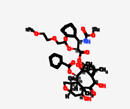 CCCOCCOCC(=O)O[C@@H](C(=O)O[C@@H]1CC(C)=C2[C@@H](O)C(=O)[C@@]3(C)[C@H]([C@H](OC(=O)c4ccccc4)[C@@]1(O)C2(C)C)[C@]1(OC(C)=O)CO[C@@H]1C[C@@H]3O)[C@@H](NC(=O)OC(C)(C)C)c1ccccc1